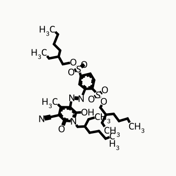 CCCCC(CC)COS(=O)(=O)c1ccc(S(=O)(=O)OCC(CC)CCCC)c(/N=N/c2c(C)c(C#N)c(=O)n(CC(CC)CCCC)c2O)c1